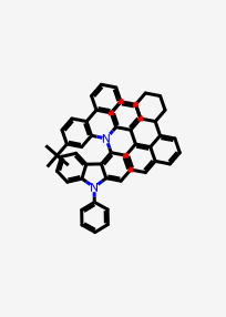 CC(C)(C)c1ccc(-c2ccccc2)c(N(c2ccccc2-c2cccc3cccc(C4CCCCC4)c23)c2cccc3c2c2ccccc2n3-c2ccccc2)c1